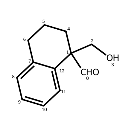 O=CC1(CO)CCCc2ccccc21